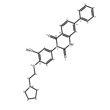 COc1cc(-n2c(=O)[nH]c3cc(-c4ccccc4)ccc3c2=O)ccc1OCCN1CCCC1